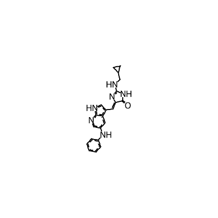 O=C1NC(NCC2CC2)=NC1=Cc1c[nH]c2ncc(Nc3ccccc3)cc12